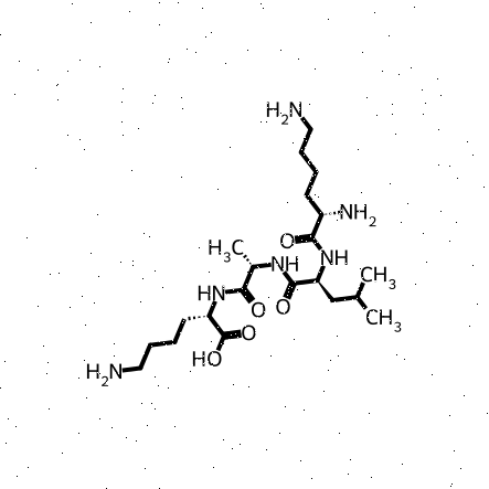 CC(C)C[C@H](NC(=O)[C@@H](N)CCCCN)C(=O)N[C@@H](C)C(=O)N[C@@H](CCCCN)C(=O)O